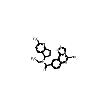 Nc1nc2ccc(C(=O)N(CC(F)(F)F)C3CCc4nc(C(F)(F)F)ccc43)cc2c2nncn12